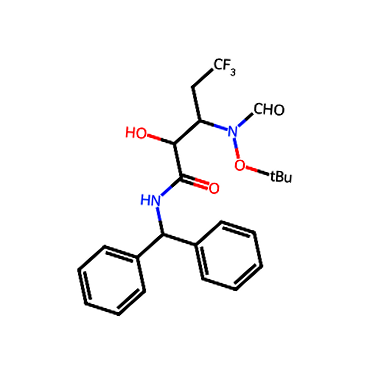 CC(C)(C)ON(C=O)C(CC(F)(F)F)C(O)C(=O)NC(c1ccccc1)c1ccccc1